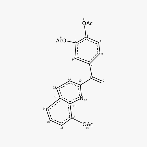 C=C(c1ccc(OC(C)=O)c(OC(C)=O)c1)c1ccc2cccc(OC(C)=O)c2n1